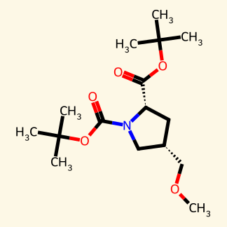 COC[C@H]1C[C@@H](C(=O)OC(C)(C)C)N(C(=O)OC(C)(C)C)C1